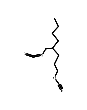 CCCCC(CCCOC#N)CN=C=O